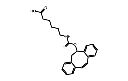 O=C(O)CCCCCNC(=O)OC1Cc2ccccc2/C=C\c2ccccc21